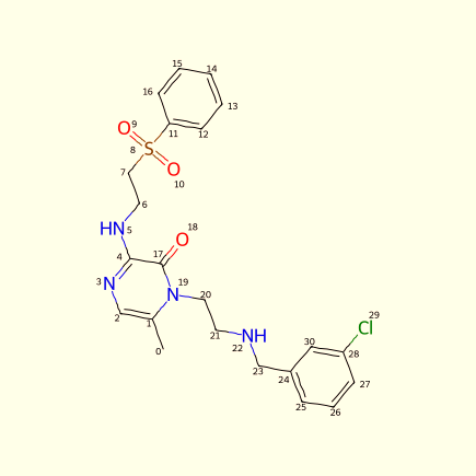 Cc1cnc(NCCS(=O)(=O)c2ccccc2)c(=O)n1CCNCc1cccc(Cl)c1